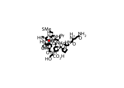 CSCC[C@H](NC(=O)[C@H](CC(C)C)NC(=O)[C@@H]1CCCN1C(=O)[C@@H]1CCCN1C(=O)CNC(=O)[C@@H](N)CCC(N)=O)C(=O)N[C@@H](CO)C(=O)N[C@@H](CO)C(=O)N[C@@H](CCC(N)=O)C(=O)N[C@@H](CO)C(=O)O